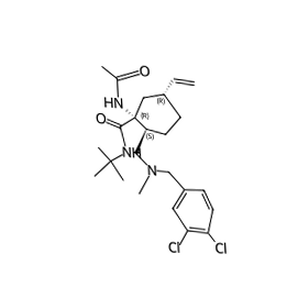 C=C[C@@H]1CC[C@@H](CN(C)Cc2ccc(Cl)c(Cl)c2)[C@@](NC(C)=O)(C(=O)NC(C)(C)C)C1